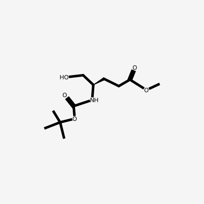 COC(=O)CC[C@H](CO)NC(=O)OC(C)(C)C